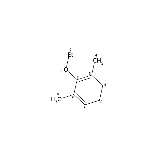 CCOC1=C(C)C[CH]C=C1C